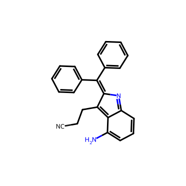 N#CCCC1=c2c(N)cccc2=NC1=C(c1ccccc1)c1ccccc1